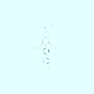 CC(=O)N1CCC2(CC1)CC(=O)C(c1c(C)cc(-c3ncc(Cl)cc3F)cc1C)C(=O)C2